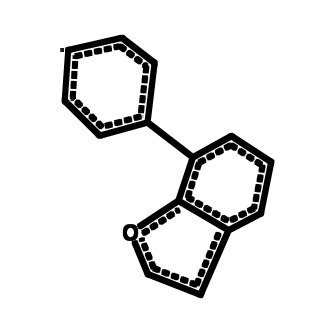 [c]1ccc(-c2cccc3ccoc23)cc1